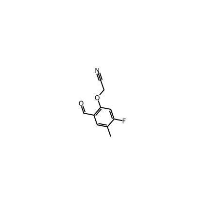 Cc1cc(C=O)c(OCC#N)cc1F